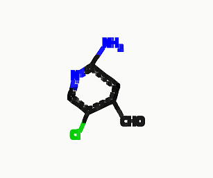 Nc1cc(C=O)c(Cl)cn1